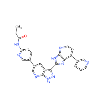 CCC(=O)Nc1ccc(-c2cnc3[nH]nc(-c4nc5c(-c6cccnc6)ccnc5[nH]4)c3c2)cn1